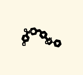 O=C(c1ccc(Cl)cc1)N1CCC(=Cc2ccc(C3=N[C@H](c4ccccc4)CO3)cc2)CC1